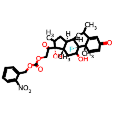 CC1C[C@H]2[C@@H]3CC(C)[C@](O)(C(=O)COC(=O)OCc4ccccc4[N+](=O)[O-])[C@@]3(C)CC(O)[C@]2(F)[C@@]2(C)C=CC(=O)C=C12